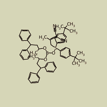 CC(CS(OB(OC(C)CC(c1ccccc1)c1ccccc1)OC(C)CC(c1ccccc1)c1ccccc1)(c1ccc(C(C)(C)C)cc1)c1ccc(C(C)(C)C)cc1)=C(C#N)C#N